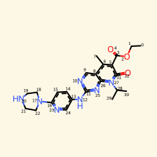 CCOC(=O)c1c(C)c2cnc(Nc3ccc(N4CCNCC4)nc3)nc2n(C(C)C)c1=O